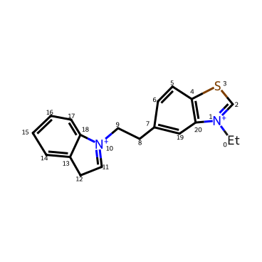 CC[n+]1csc2ccc(CC[N+]3=CCc4ccccc43)cc21